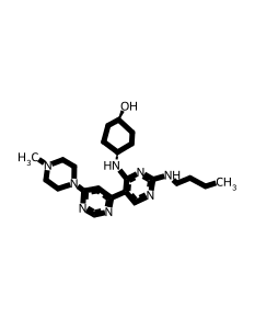 CCCCNc1ncc(-c2cc(N3CCN(C)CC3)ncn2)c(N[C@H]2CC[C@H](O)CC2)n1